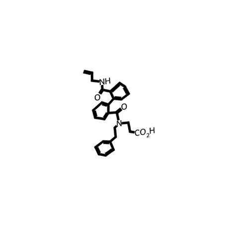 C=CCNC(=O)c1ccccc1-c1ccccc1C(=O)N(CCC(=O)O)CCc1ccccc1